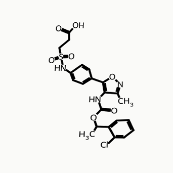 Cc1noc(-c2ccc(NS(=O)(=O)CCC(=O)O)cc2)c1NC(=O)OC(C)c1ccccc1Cl